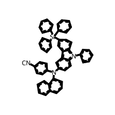 [C-]#[N+]c1ccc(N(c2ccc3c(c2)c2cc([Si](c4ccccc4)(c4ccccc4)c4ccccc4)ccc2n3-c2ccccc2)c2cccc3ccccc23)cc1